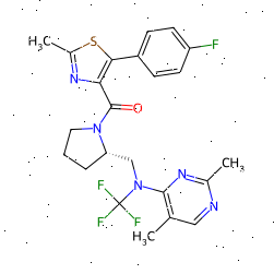 Cc1ncc(C)c(N(C[C@@H]2CCCN2C(=O)c2nc(C)sc2-c2ccc(F)cc2)C(F)(F)F)n1